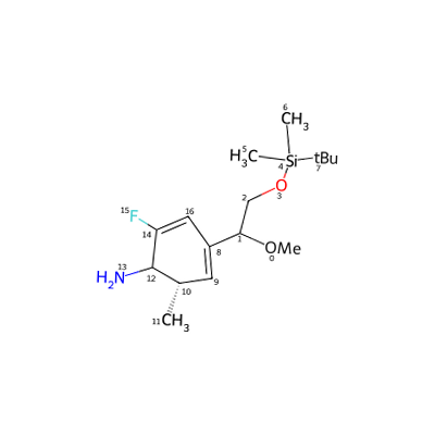 COC(CO[Si](C)(C)C(C)(C)C)C1=C[C@H](C)C(N)C(F)=C1